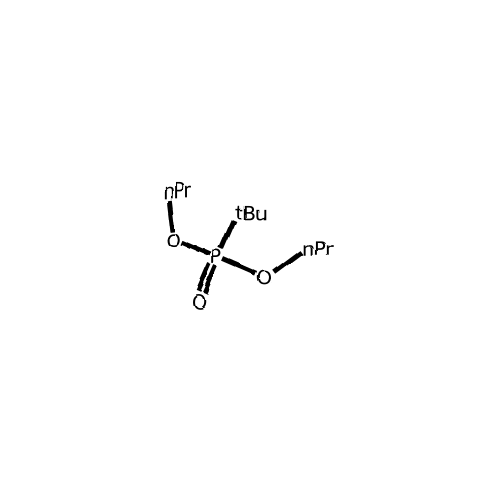 CCCOP(=O)(OCCC)C(C)(C)C